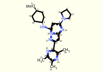 CO[C@H]1CC[C@H](Nc2cc(N3CCCC3)nc3cc(-c4nc(C)c(C)nc4C)nn23)CC1